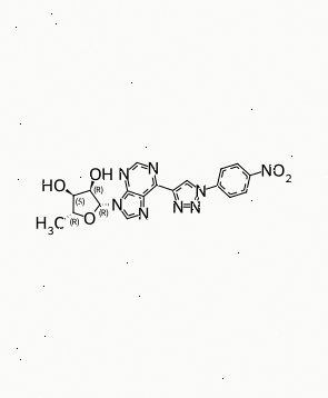 C[C@H]1O[C@@H](n2cnc3c(-c4cn(-c5ccc([N+](=O)[O-])cc5)nn4)ncnc32)[C@H](O)[C@@H]1O